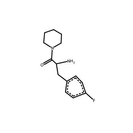 NC(Cc1ccc(F)cc1)C(=O)N1CCCCC1